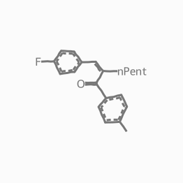 CCCCCC(=Cc1ccc(F)cc1)C(=O)c1ccc(C)cc1